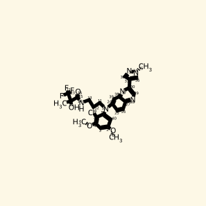 COc1cc(OC)c(Cl)c(N(CCCNC(=O)C(C)(O)C(F)(F)F)c2ccc3ncc(-c4cnn(C)c4)nc3c2)c1